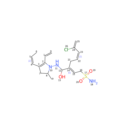 C=CC1=C(/C=C\C)CC(C)N1NC(O)/C(=C/CS(N)(=O)=O)C/C=C\C(=C)Cl